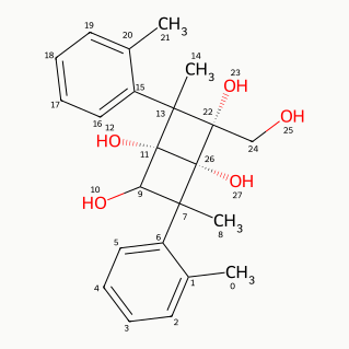 Cc1ccccc1C1(C)C(O)[C@@]2(O)C(C)(c3ccccc3C)[C@@](O)(CO)[C@@]12O